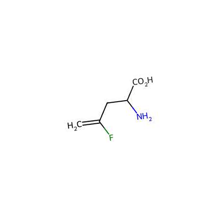 C=C(F)CC(N)C(=O)O